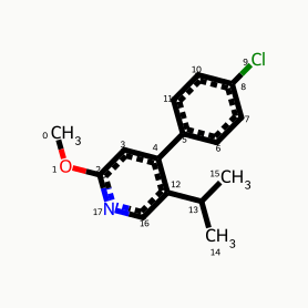 COc1cc(-c2ccc(Cl)cc2)c(C(C)C)cn1